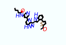 CCCCC(=O)Nc1cncc(-c2ccc3[nH]nc(-c4cc5c(-c6ccc(C(C)=O)s6)cccc5[nH]4)c3n2)c1